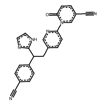 N#Cc1ccc(C(Cc2ccc(-n3cc(C#N)ccc3=O)nc2)c2ncc[nH]2)cc1